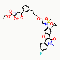 CCOC(=O)/C(O)=C/C(=O)c1cccc(CCCOCCN(c2cc3oc(-c4ccc(F)cc4)c(C(=O)NC)c3cc2C2CC2)S(C)(=O)=O)c1